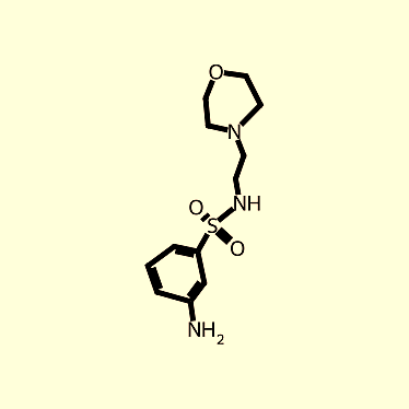 Nc1cccc(S(=O)(=O)NCCN2CCOCC2)c1